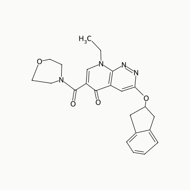 CCn1cc(C(=O)N2CCOCC2)c(=O)c2cc(OC3Cc4ccccc4C3)nnc21